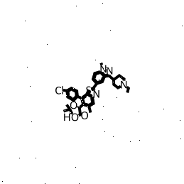 CCN1CCC(c2nn(C)c3ccc(-c4nc5cc(C)c([C@H](OC(C)(C)C)C(=O)O)c(-c6ccc(Cl)cc6)c5s4)cc23)CC1